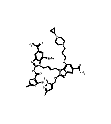 CCc1nc(C)sc1C(=O)Nc1nc2cc(C(N)=O)cc(SC)c2n1C/C=C/Cn1c(NCc2cc(C)nn2CC)nc2cc(C(N)=O)cc(OCCCN3CCN(C4CC4)CC3)c21